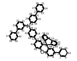 C1=CC(c2ccc3c(c2)C2(c4cc(-c5ccc(N(c6ccc(-c7ccccc7)cc6)c6cccc(-c7ccccc7)c6)cc5)ccc4O3)c3ccccc3-c3ccccc32)=CCC1